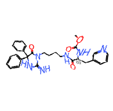 COC(=O)N[C@@H](Cc1cccnc1)C(=O)NCCCCN1C(=N)NC(c2ccccc2)(c2ccccc2)C1=O